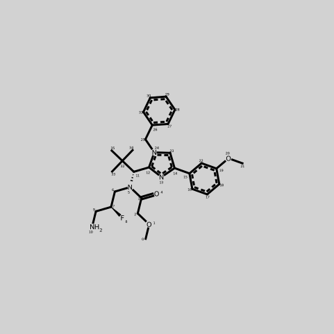 COCC(=O)N(C[C@@H](F)CN)[C@@H](c1nc(-c2cccc(OC)c2)cn1Cc1ccccc1)C(C)(C)C